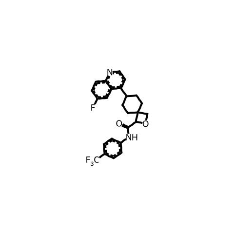 O=C(Nc1ccc(C(F)(F)F)cc1)C1OCC12CCC(c1ccnc3ccc(F)cc13)CC2